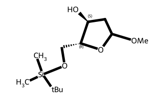 COC1C[C@H](O)[C@@H](CO[Si](C)(C)C(C)(C)C)O1